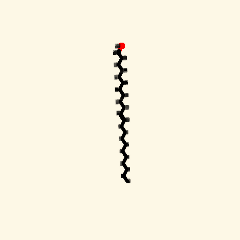 CCCCCCCCCCC=CCCCCCCCCC[C]=O